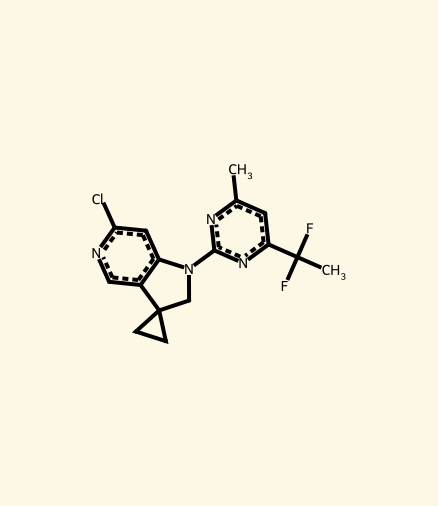 Cc1cc(C(C)(F)F)nc(N2CC3(CC3)c3cnc(Cl)cc32)n1